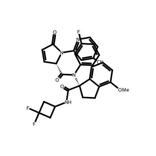 COc1cccc2c1CC[C@]2(C(=O)NC1CC(F)(F)C1)N(C(=O)[C@@H]1C=CC(=O)N1c1cc(C#N)ccn1)c1cccc(F)c1